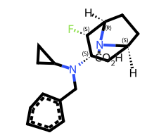 O=C(O)N1[C@H]2CC[C@@H]1[C@@H](F)[C@@H](N(Cc1ccccc1)C1CC1)C2